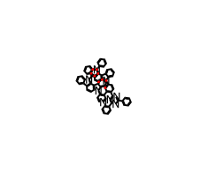 c1ccc(-c2nc(-c3ccccc3)nc(-c3ccc(-n4c5ccccc5c5c4ccc4c6ccccc6n(-c6ccccc6)c45)cc3-c3cnccc3-n3c4ccccc4c4c3ccc3c5ccccc5n(-c5ccccc5)c34)n2)cc1